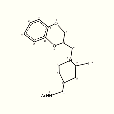 CC(=O)NCC1CCN(CC2COc3ccccc3O2)C(I)C1